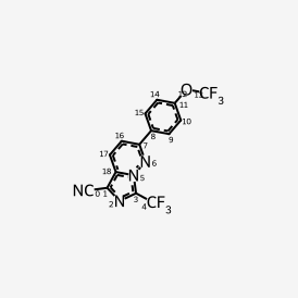 N#Cc1nc(C(F)(F)F)n2nc(-c3ccc(OC(F)(F)F)cc3)ccc12